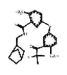 CCCC(C)(C)C(=O)c1cc(Oc2ccc(C(=O)O)c(C(=O)NCC3CC4CCC3C4)c2)ccc1C(=O)O